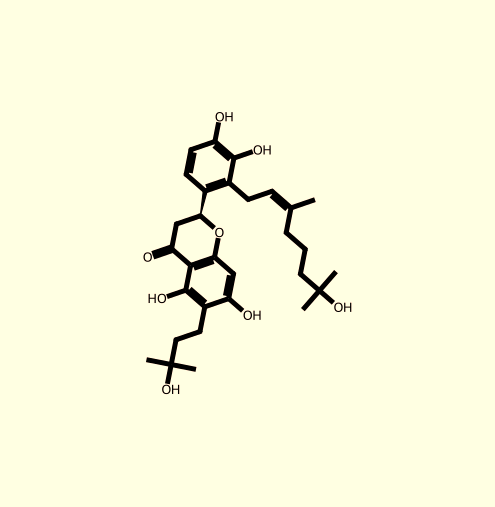 CC(=CCc1c([C@@H]2CC(=O)c3c(cc(O)c(CCC(C)(C)O)c3O)O2)ccc(O)c1O)CCCC(C)(C)O